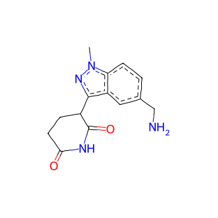 Cn1nc(C2CCC(=O)NC2=O)c2cc(CN)ccc21